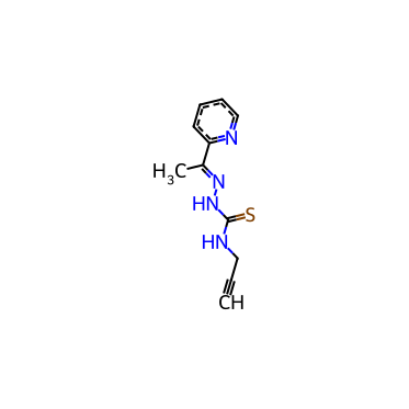 C#CCNC(=S)NN=C(C)c1ccccn1